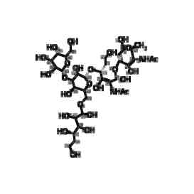 CC(=O)N/C(=C(\O)[C@@H](CCO)O[C@H](O)/C(NC(C)=O)=C(/O)[C@@H](CCO)O[C@@H]1OC(CO[C@@H](O)C(O)C(O)[C@H](O)CCO)[C@@H](O)C(O[C@H]2OC(CO)[C@@H](O)C(O)C2O)C1O)[C@H](C)O